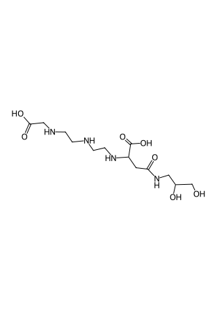 O=C(O)CNCCNCCNC(CC(=O)NCC(O)CO)C(=O)O